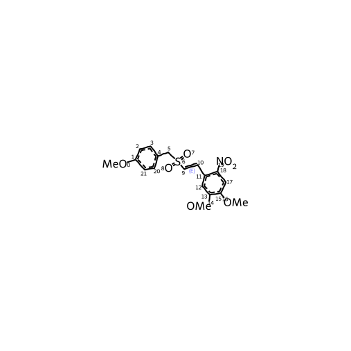 COc1ccc(CS(=O)(=O)/C=C/c2cc(OC)c(OC)cc2[N+](=O)[O-])cc1